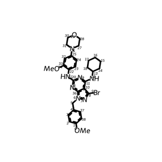 COc1ccc(Cn2nc(Br)c3c(NC4CCCCC4)nc(Nc4ccc(N5CCOCC5)cc4OC)nc32)cc1